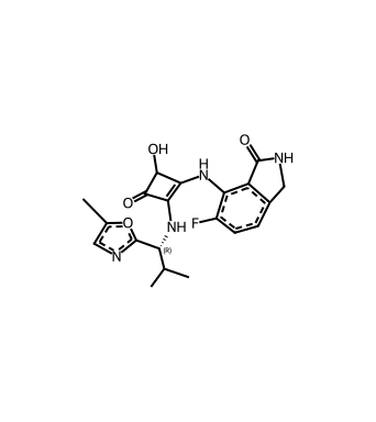 Cc1cnc([C@H](NC2=C(Nc3c(F)ccc4c3C(=O)NC4)C(O)C2=O)C(C)C)o1